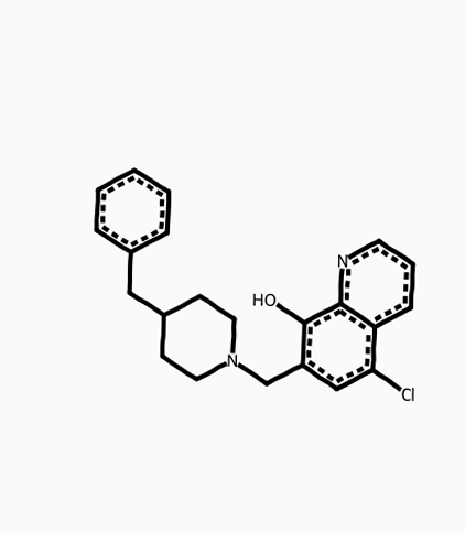 Oc1c(CN2CCC(Cc3ccccc3)CC2)cc(Cl)c2cccnc12